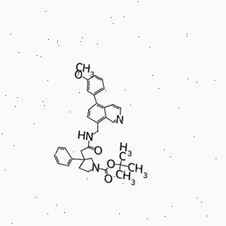 COc1cccc(-c2ccc(CNC(=O)CC3(c4ccccc4)CCN(C(=O)OC(C)(C)C)C3)c3cnccc23)c1